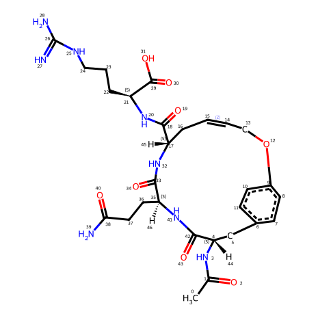 CC(=O)N[C@H]1Cc2ccc(cc2)OC/C=C\C[C@@H](C(=O)N[C@@H](CCCNC(=N)N)C(=O)O)NC(=O)[C@H](CCC(N)=O)NC1=O